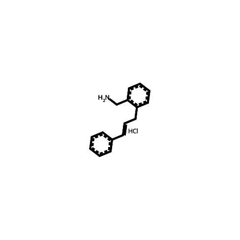 Cl.NCc1ccccc1C/C=C/c1ccccc1